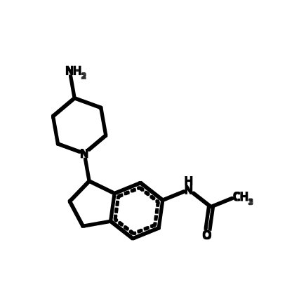 CC(=O)Nc1ccc2c(c1)C(N1CCC(N)CC1)CC2